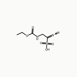 CCOC(=O)NCC(=[N+]=[N-])S(=O)(=O)O